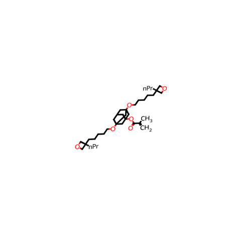 C=C(C)C(=O)OC12CC3CC(OCCCCCC4(CCC)COC4)(CC(OCCCCCC4(CCC)COC4)(C3)C1)C2